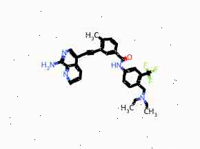 CCN(CC)Cc1ccc(NC(=O)c2ccc(C)c(C#Cc3cnc(N)c4ncccc34)c2)cc1C(F)(F)F